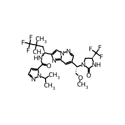 COC[C@H](c1cnn2cc([C@H](CC(C)(C)C(F)(F)F)NC(=O)c3ccnn3C(C)C)nc2c1)N1C[C@@H](C(F)(F)F)NC1=O